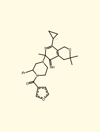 CC(C)C1CN(C2(C)N=C(C3CC3)C3=C(CC(C)(C)OC3)C2=N)CCN1C(=O)c1ccoc1